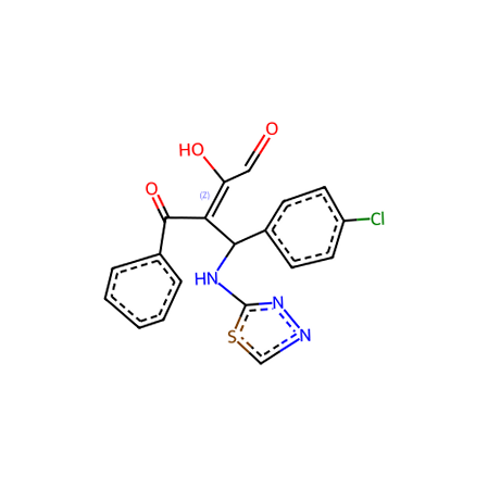 O=C/C(O)=C(/C(=O)c1ccccc1)C(Nc1nncs1)c1ccc(Cl)cc1